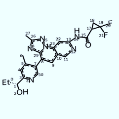 CC[C@@H](O)c1cc(C)c(-c2cc3cnc(NC(=O)C4CC4(F)F)cc3n3nc(C)nc23)cn1